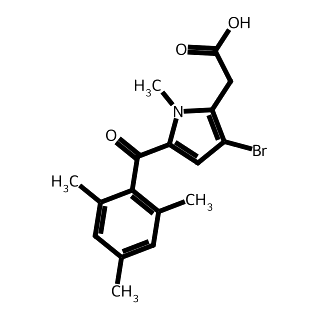 Cc1cc(C)c(C(=O)c2cc(Br)c(CC(=O)O)n2C)c(C)c1